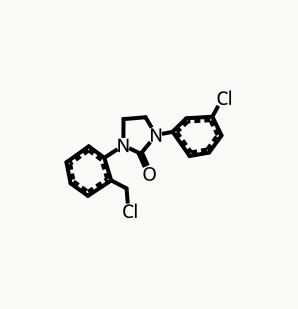 O=C1N(c2cccc(Cl)c2)CCN1c1ccccc1CCl